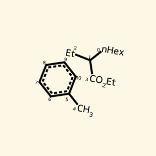 CCCCCCC(CC)C(=O)OCC.Cc1ccccc1